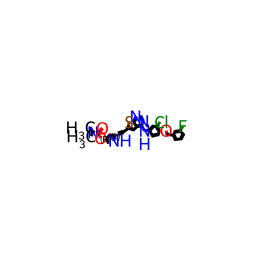 CN(C)C(=O)O[C@H]1CN[C@@H](C#Cc2cc3c(Nc4ccc(OCc5cccc(F)c5)c(Cl)c4)ncnc3s2)C1